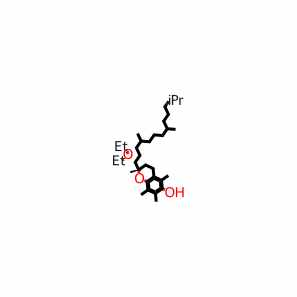 CCOCC.Cc1c(C)c2c(c(C)c1O)CC[C@@](C)(CCCC(C)CCCC(C)CCCC(C)C)O2